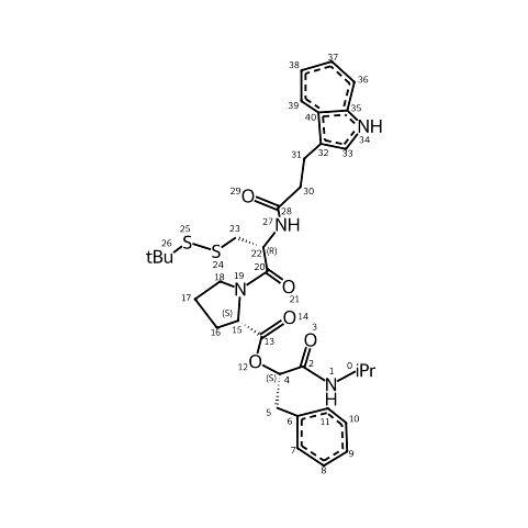 CC(C)NC(=O)[C@H](Cc1ccccc1)OC(=O)[C@@H]1CCCN1C(=O)[C@H](CSSC(C)(C)C)NC(=O)CCc1c[nH]c2ccccc12